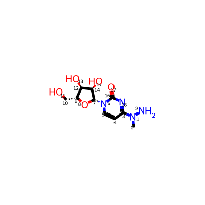 CN(N)c1ccn([C@@H]2O[C@H](CO)[C@@H](O)[C@H]2O)c(=O)n1